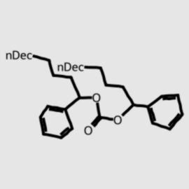 CCCCCCCCCCCCCC(OC(=O)OC(CCCCCCCCCCCCC)c1ccccc1)c1ccccc1